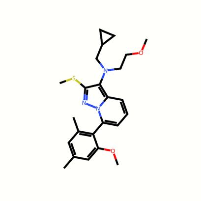 COCCN(CC1CC1)c1c(SC)nn2c(-c3c(C)cc(C)cc3OC)cccc12